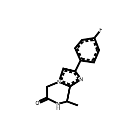 CC1NC(=O)Cn2cc(-c3ccc(F)cc3)nc21